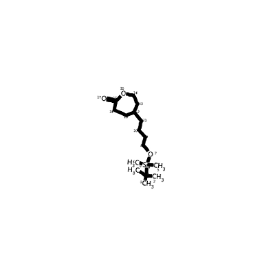 CC(C)(C)[Si](C)(C)OCCCCC1CCOC(=O)CC1